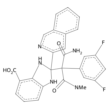 CNC(=O)C(C(N)=O)(c1cc(F)cc(F)c1)C1(c2cc3ccccc3cn2)Nc2cccc(C(=O)O)c2N1